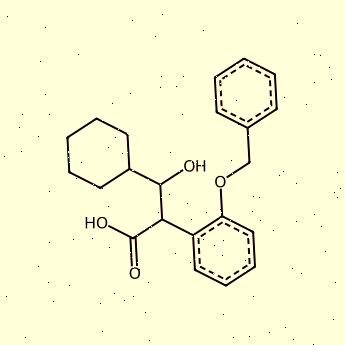 O=C(O)C(c1ccccc1OCc1ccccc1)C(O)C1CCCCC1